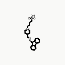 O=S(=O)(O)CCCC[n+]1ccc(C=NN=C2c3ccccc3-c3ccccc32)cc1